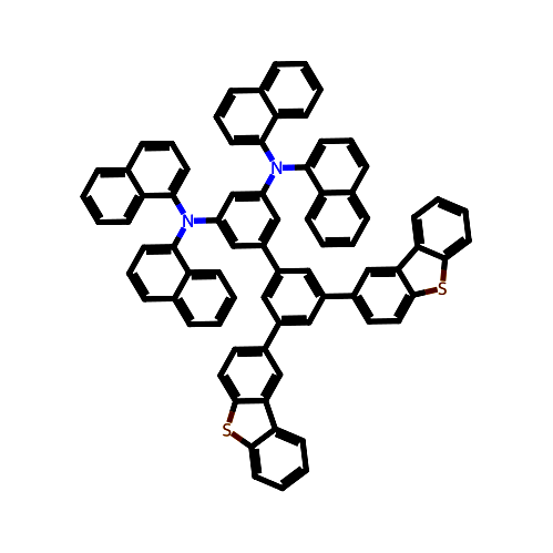 c1ccc2c(N(c3cc(-c4cc(-c5ccc6sc7ccccc7c6c5)cc(-c5ccc6sc7ccccc7c6c5)c4)cc(N(c4cccc5ccccc45)c4cccc5ccccc45)c3)c3cccc4ccccc34)cccc2c1